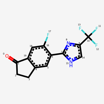 O=C1CCc2cc(-c3nc(C(F)(F)F)c[nH]3)c(F)cc21